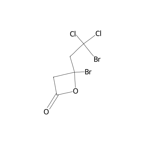 O=C1CC(Br)(CC(Cl)(Cl)Br)O1